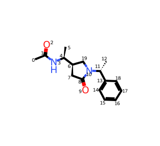 CC(=O)N[C@@H](C)[C@@H]1CC(=O)N([C@H](C)c2ccccc2)C1